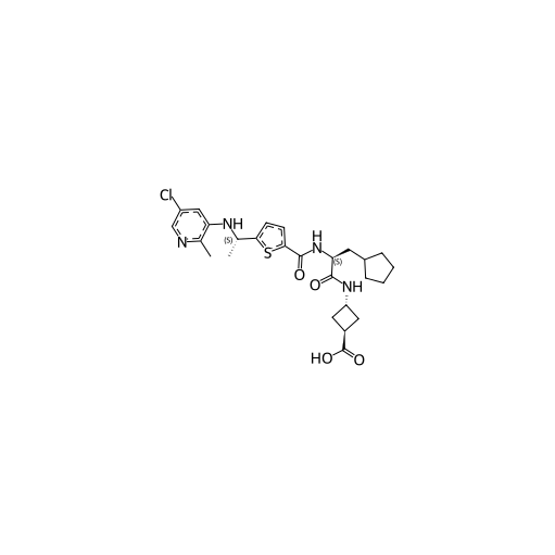 Cc1ncc(Cl)cc1N[C@@H](C)c1ccc(C(=O)N[C@@H](CC2CCCC2)C(=O)N[C@H]2C[C@H](C(=O)O)C2)s1